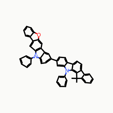 CC1(C)c2ccccc2-c2ccc3c4ccc(-c5ccc6c(c5)c5cc7oc8ccccc8c7cc5n6-c5ccccc5)cc4n(-c4ccccc4)c3c21